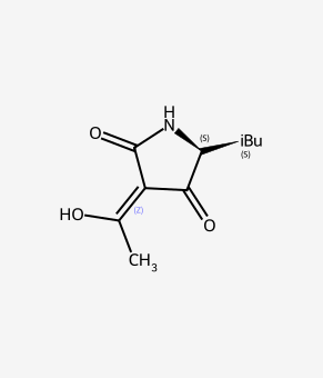 CC[C@H](C)[C@@H]1NC(=O)/C(=C(/C)O)C1=O